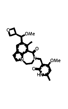 COc1cc(C)[nH]c(=O)c1CN1CCn2ccc3cc(C(OC)C4COC4)c(C)c(c32)C1=O